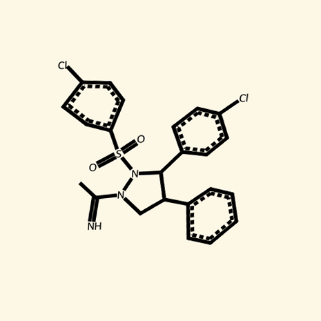 CC(=N)N1CC(c2ccccc2)C(c2ccc(Cl)cc2)N1S(=O)(=O)c1ccc(Cl)cc1